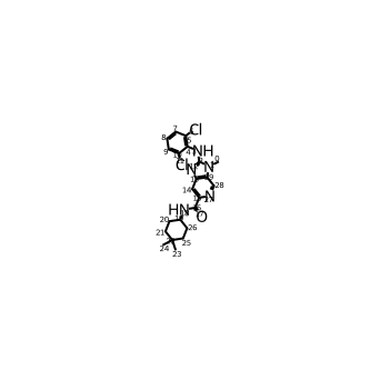 Cn1c(Nc2c(Cl)cccc2Cl)nc2cc(C(=O)NC3CCC(C)(C)CC3)ncc21